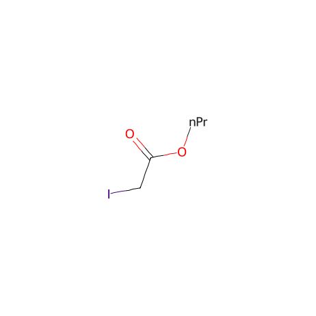 CCCOC(=O)CI